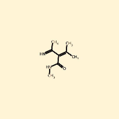 CNC(=O)C(C(C)=N)=C(C)C